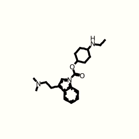 CCNC1CCC(OC(=O)n2cc(CCN(C)C)c3ccccc32)CC1